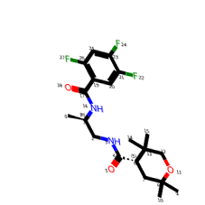 C[C@H](CNC(=O)[C@H]1CC(C)(C)OCC1(C)C)NC(=O)c1cc(F)c(F)cc1F